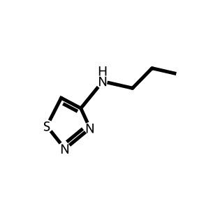 CCCNc1csnn1